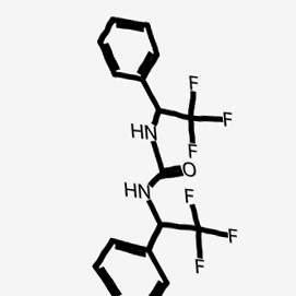 O=C(NC(c1ccccc1)C(F)(F)F)NC(c1ccccc1)C(F)(F)F